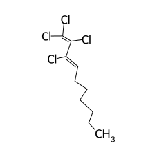 CCCCCCC=C(Cl)C(Cl)=C(Cl)Cl